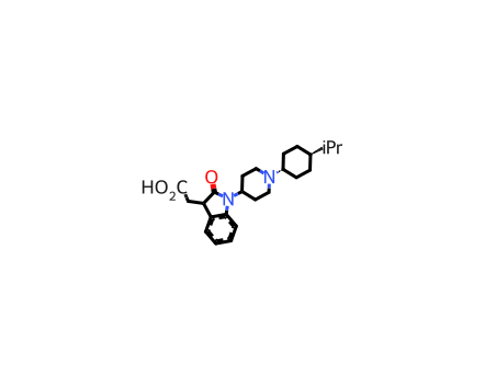 CC(C)[C@H]1CC[C@H](N2CCC(N3C(=O)C(CC(=O)O)c4ccccc43)CC2)CC1